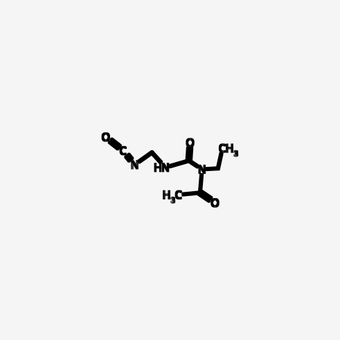 CCN(C(C)=O)C(=O)NCN=C=O